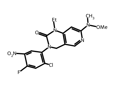 CCN1C(=O)N(c2cc([N+](=O)[O-])c(F)cc2Cl)Cc2cnc(N(C)OC)cc21